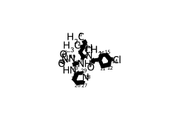 C=CC(C)(C)CC(NC(=O)c1ccc(Cl)cc1)N/C(=N/[N+](=O)[O-])Nc1cccnc1